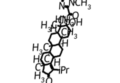 CC(C)C1=C2[C@H]3CC[C@@H]4[C@@]5(C)CC[C@@](O)(NC(=O)c6nccn6C)C(C)(C)[C@@H]5CC[C@@]4(C)[C@]3(C)CC[C@@]2(C)CC1=O